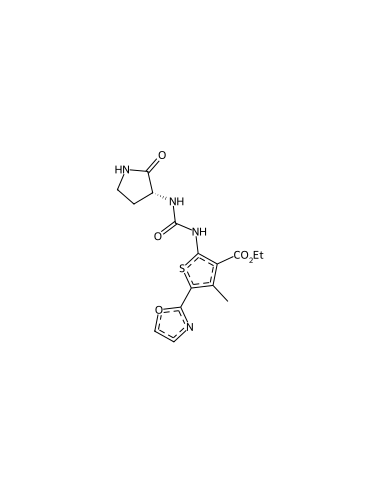 CCOC(=O)c1c(NC(=O)N[C@@H]2CCNC2=O)sc(-c2ncco2)c1C